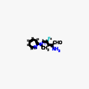 CN(/C=C(F)\C=C(\N)C=O)C1=CC=CCC=N1